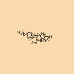 COc1ccc(C#Cc2cnc3[nH]ccc3c2NC2CCCCC2)cc1